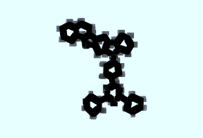 c1ccc(-c2nc(-c3ccccc3)nc(-c3ccc(-n4c5ccccc5c5cc6c(cc54)oc4c5ccccc5ccc64)cc3)n2)cc1